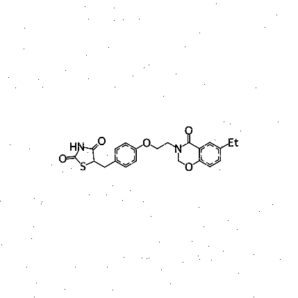 CCc1ccc2c(c1)C(=O)N(CCOc1ccc(CC3SC(=O)NC3=O)cc1)CO2